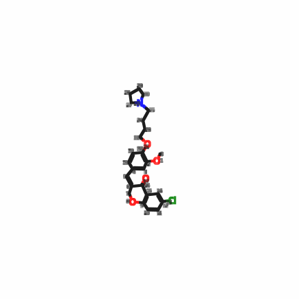 COc1cc(C=C2COc3ccc(Cl)cc3C2=O)ccc1OCCCCN1CCCC1